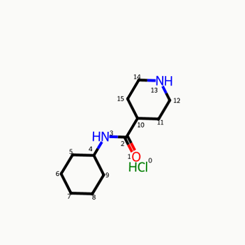 Cl.O=C(NC1CCCCC1)C1CCNCC1